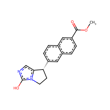 COC(=O)c1ccc2cc([C@@H]3CCn4c3cnc4O)ccc2c1